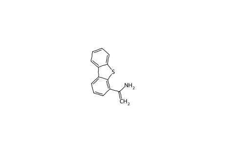 C=C(N)c1cccc2c1sc1ccccc12